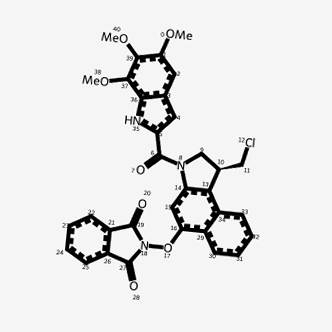 COc1cc2cc(C(=O)N3C[C@@H](CCl)c4c3cc(ON3C(=O)c5ccccc5C3=O)c3ccccc43)[nH]c2c(OC)c1OC